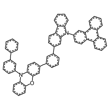 c1ccc(-c2cccc(N3c4ccccc4Oc4cc(-c5cccc(-c6ccc7c8ccccc8n(-c8ccc9c%10ccccc%10c%10ccccc%10c9c8)c7c6)c5)ccc43)c2)cc1